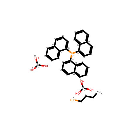 CCCCP.OB(O)O.OB(O)O.c1ccc2c(P(c3cccc4ccccc34)c3cccc4ccccc34)cccc2c1